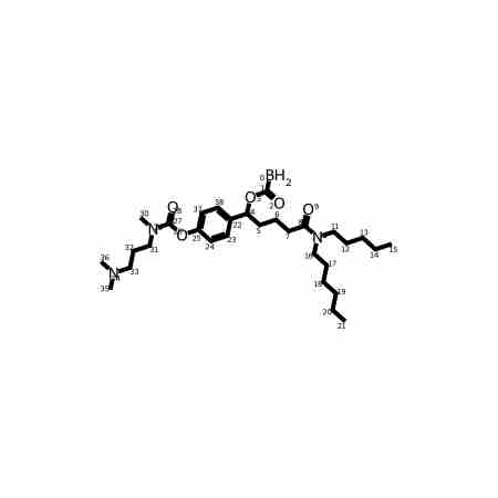 BC(=O)OC(CCCC(=O)N(CCCCC)CCCCCC)c1ccc(OC(=O)N(C)CCCN(C)C)cc1